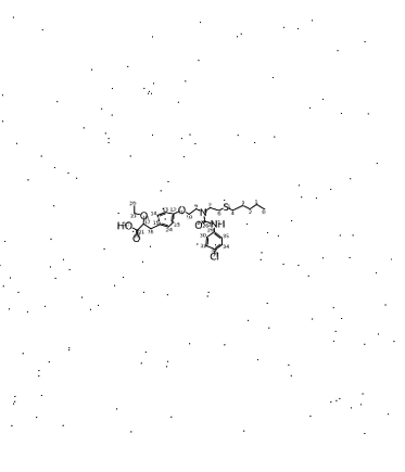 CCCCCSCCN(CCOc1ccc(CC(OCC)C(=O)O)cc1)C(=O)Nc1ccc(Cl)cc1